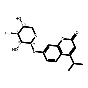 CC(C)c1cc(=O)oc2cc(O[C@@H]3SC[C@@H](O)[C@H](O)[C@H]3O)ccc12